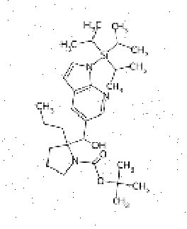 CCCC1(C(O)c2cnc3c(ccn3[Si](C(C)C)(C(C)C)C(C)C)c2)CCCN1C(=O)OC(C)(C)C